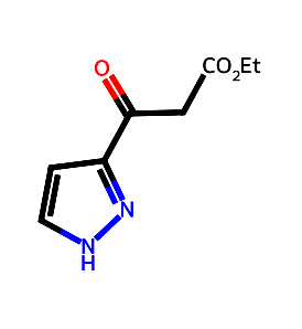 CCOC(=O)CC(=O)c1cc[nH]n1